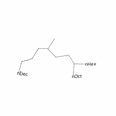 CCCCCCCCCCCCCC(C)CCC(CCCCCC)CCCCCCCC